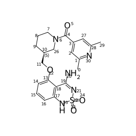 Cc1cc(C(=O)N2CCC[C@H](COc3cccc4c3C(N)=NS(=O)(=O)N4)C2)cc(C)n1